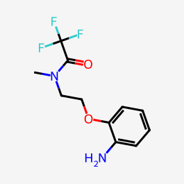 CN(CCOc1ccccc1N)C(=O)C(F)(F)F